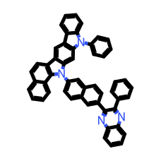 c1ccc(-c2nc3ccccc3nc2-c2ccc3cc(-n4c5cc6c(cc5c5ccc7ccccc7c54)c4ccccc4n6-c4ccccc4)ccc3c2)cc1